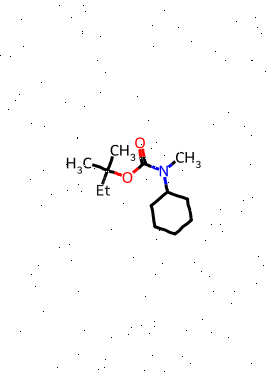 CCC(C)(C)OC(=O)N(C)C1CCCCC1